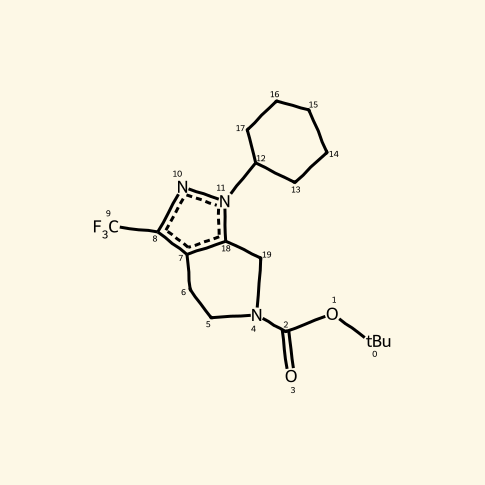 CC(C)(C)OC(=O)N1CCc2c(C(F)(F)F)nn(C3CCCCC3)c2C1